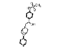 CS(=O)(=O)Nc1ccc(C(O)CN2CC3CC2CN3c2ccncc2)cc1